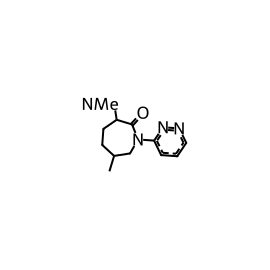 CNC1CCC(C)CN(c2cccnn2)C1=O